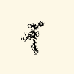 CCN(C(=O)C(CSCCCC(F)(F)F)=NOC)c1cn(-c2cccnc2)nc1Cl